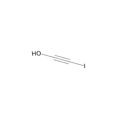 OC#CI